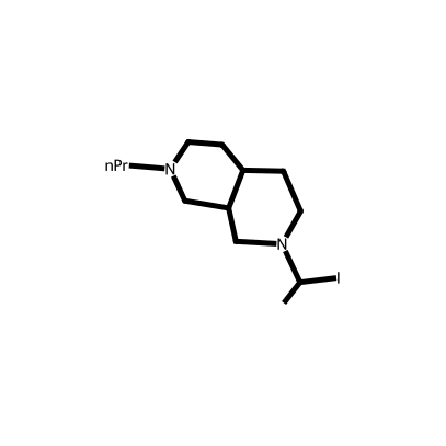 CCCN1CCC2CCN(C(C)I)CC2C1